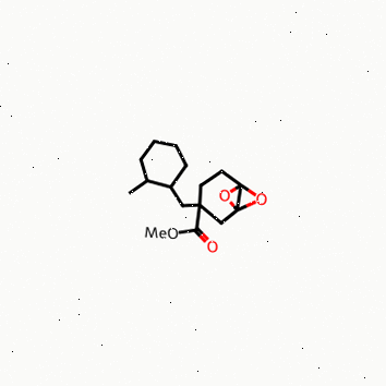 COC(=O)C1(CC2CCCCC2C)CCC23OC2(C1)O3